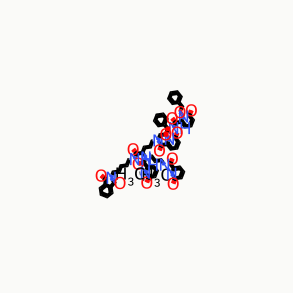 Cn1c(C(=O)NCCCN(C(=O)c2cccc(=O)n2C)C(CCCN(CCCNC(=O)c2cccc(=O)n2OCc2ccccc2)C(=O)c2cccc(=O)n2OCc2ccccc2)C(=O)NCCCCCN2C(=O)c3ccccc3C2=O)cccc1=O